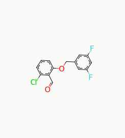 O=Cc1c(Cl)cccc1OCc1cc(F)cc(F)c1